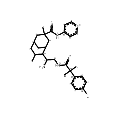 CC1CC2CC(CC(C)(C(=O)Nc3ccncc3)C2)C1C(N)CNC(=O)C(C)(C)c1ccc(F)cc1